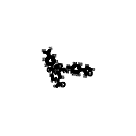 CC(=O)N1CCN(S(=O)(=O)c2ccc(C(C)C)cc2)[C@@H](C(=O)NCc2ccc(-c3ccoc3)cc2)C1